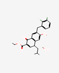 CCOC(=O)C1=CC([C@H](CO)C(C)C)c2cc(OC)c(Cc3cccc(Cl)c3F)cc2C1=O